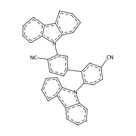 N#Cc1ccc(-n2c3ccccc3c3ccccc32)c(-c2ccc(C#N)c(-n3c4ccccc4c4ccccc43)c2)c1